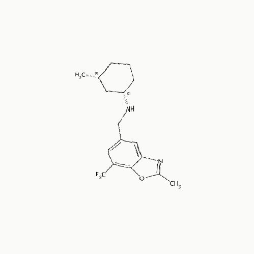 Cc1nc2cc(CN[C@H]3CCC[C@@H](C)C3)cc(C(F)(F)F)c2o1